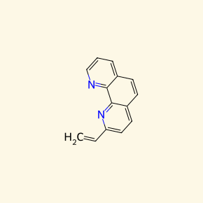 C=Cc1ccc2ccc3cccnc3c2n1